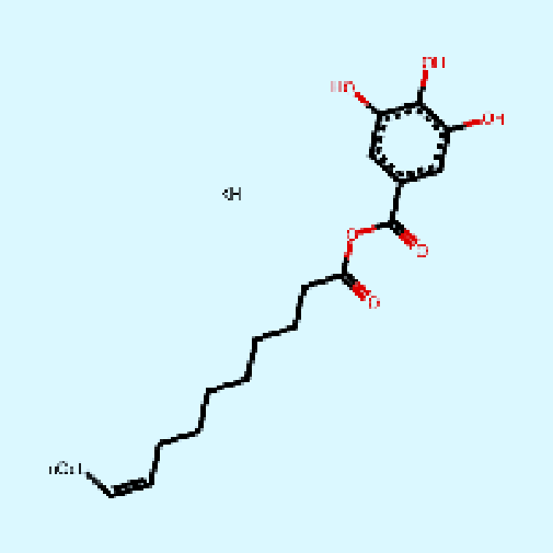 CCCCCCCC/C=C\CCCCCCCC(=O)OC(=O)c1cc(O)c(O)c(O)c1.[KH]